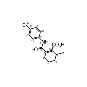 CC1CCCC(C(=O)Nc2ccc(Cl)cc2)=C1C(=O)O